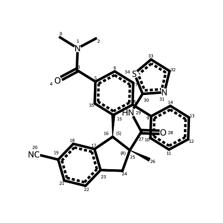 CN(C)C(=O)c1ccc(-c2ccccc2)c([C@@H]2c3cc(C#N)ccc3C[C@@]2(C)C(=O)Nc2nccs2)c1